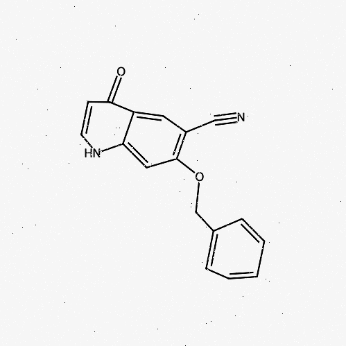 N#Cc1cc2c(=O)cc[nH]c2cc1OCc1ccccc1